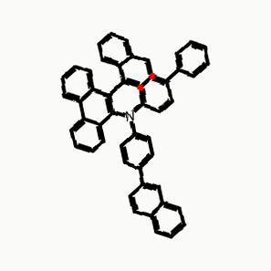 c1ccc(-c2ccc(N(c3ccc(-c4ccc5ccccc5c4)cc3)c3c(-c4cccc5ccccc45)c4ccccc4c4ccccc34)cc2)cc1